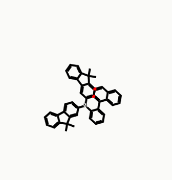 CC1(C)c2ccccc2-c2cc(N(c3ccc4c(c3)C(C)(C)c3ccccc3-4)c3ccccc3-c3cccc4ccccc34)ccc21